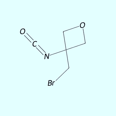 O=C=NC1(CBr)COC1